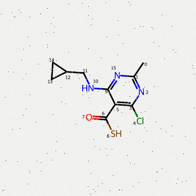 Cc1nc(Cl)c(C(=O)S)c(NCC2CC2)n1